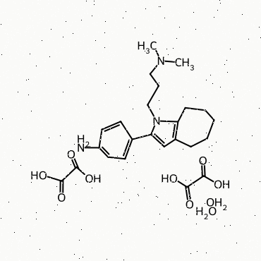 CN(C)CCCn1c(-c2ccc(N)cc2)cc2c1CCCCC2.O.O.O=C(O)C(=O)O.O=C(O)C(=O)O